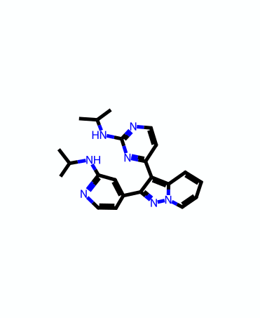 CC(C)Nc1cc(-c2nn3ccccc3c2-c2ccnc(NC(C)C)n2)ccn1